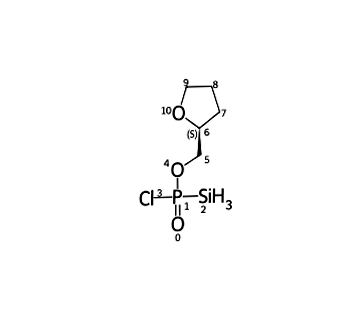 O=P([SiH3])(Cl)OC[C@@H]1CCCO1